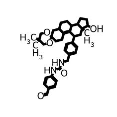 CC1(C)COC2(CCC3=C4C(c5ccc(CNC(=O)Nc6ccc(C=O)cc6)cc5)CC5(C)C(O)CCC5C4CCC3C2)OC1